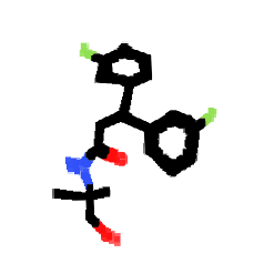 CC(C)(CO)NC(=O)CC(c1cccc(F)c1)c1cccc(F)c1